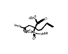 C=CCC(CC(=O)OC)(C(=O)OC)P(=O)(OC)OC